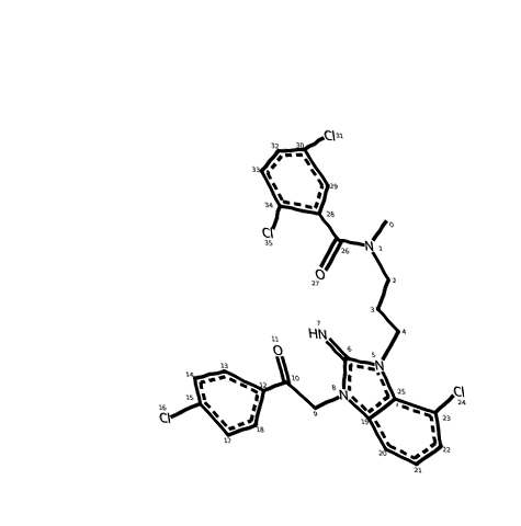 CN(CCCn1c(=N)n(CC(=O)c2ccc(Cl)cc2)c2cccc(Cl)c21)C(=O)c1cc(Cl)ccc1Cl